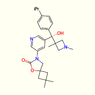 CC(C)c1ccc([C@](O)(c2cncc(N3CC4(CC(C)(C)C4)OC3=O)c2)C2(C)CN(C)C2)cc1